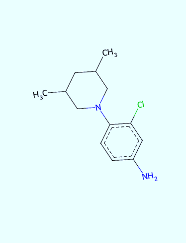 CC1CC(C)CN(c2ccc(N)cc2Cl)C1